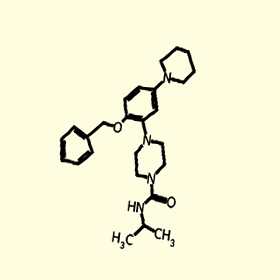 CC(C)NC(=O)N1CCN(c2cc(N3CCCCC3)ccc2OCc2ccccc2)CC1